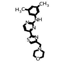 Cc1cc(C)cc(Nc2nccc(-c3nc(CN4CCOCC4)cs3)n2)c1